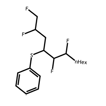 CCCCCCC(F)C(F)C(CC(F)CF)Sc1cc[c]cc1